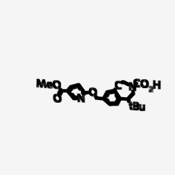 COC(=O)c1ccc(OCc2ccc3c(c2)CCN(C(=O)O)CC3C(C)(C)C)nc1